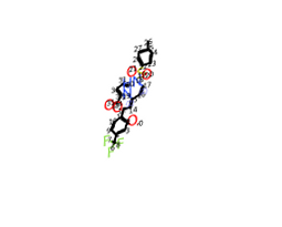 COc1cc(C(F)(F)F)ccc1C(=O)/C=C(/C=C\NS(=O)(=O)c1ccc(C)cc1)n1cccc1C=O